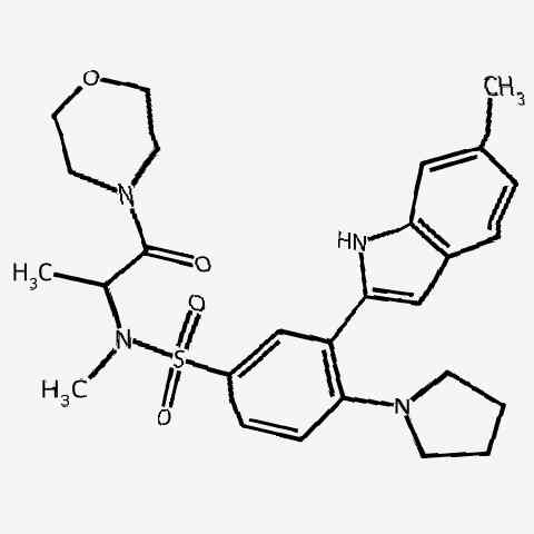 Cc1ccc2cc(-c3cc(S(=O)(=O)N(C)C(C)C(=O)N4CCOCC4)ccc3N3CCCC3)[nH]c2c1